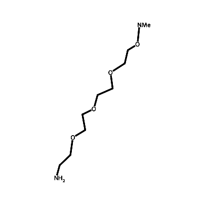 CNOCCOCCOCCOCCN